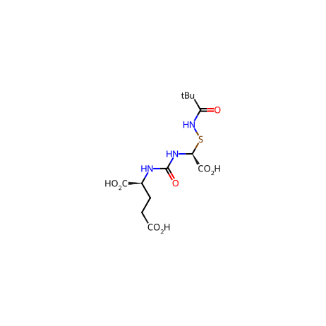 CC(C)(C)C(=O)NS[C@H](NC(=O)N[C@@H](CCC(=O)O)C(=O)O)C(=O)O